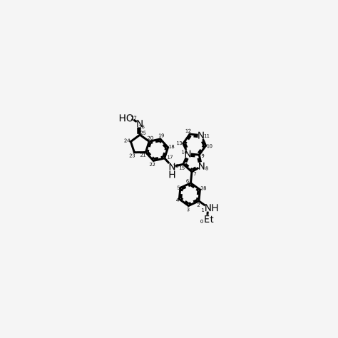 CCNc1cccc(-c2nc3cnccn3c2Nc2ccc3c(c2)CCC3=NO)c1